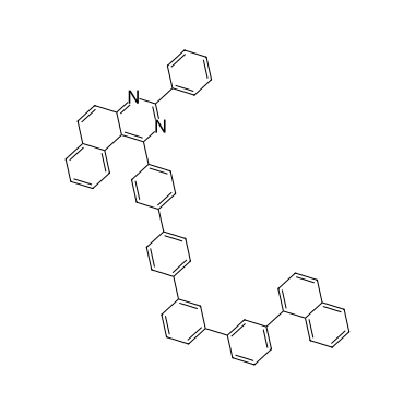 c1ccc(-c2nc(-c3ccc(-c4ccc(-c5cccc(-c6cccc(-c7cccc8ccccc78)c6)c5)cc4)cc3)c3c(ccc4ccccc43)n2)cc1